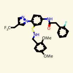 COc1ccc(CNSc2cc(NC(=O)Cc3ccccc3F)ccc2-n2cc(CC(F)(F)F)cn2)c(OC)c1